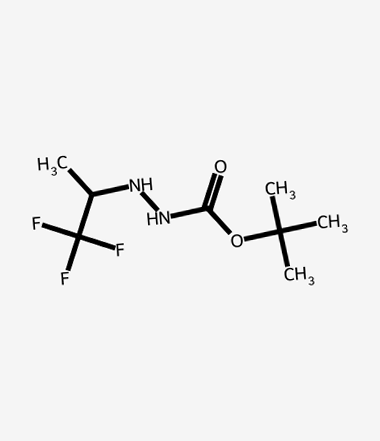 CC(NNC(=O)OC(C)(C)C)C(F)(F)F